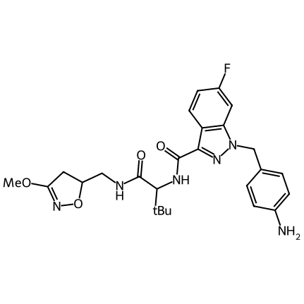 COC1=NOC(CNC(=O)C(NC(=O)c2nn(Cc3ccc(N)cc3)c3cc(F)ccc23)C(C)(C)C)C1